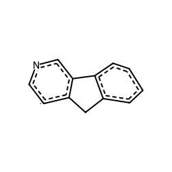 [c]1cncc2c1Cc1ccccc1-2